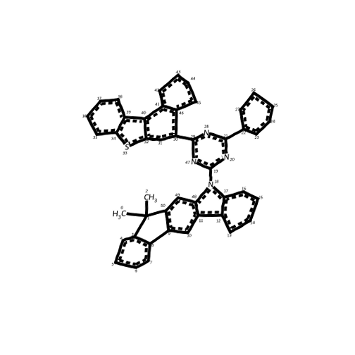 CC1(C)c2ccccc2-c2cc3c4ccccc4n(-c4nc(-c5ccccc5)nc(-c5cc6sc7ccccc7c6c6ccccc56)n4)c3cc21